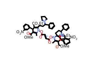 CCOC(=O)C1=C(CCC(c2ccccc2)N2CCCC2)N(OC(=O)/C=C/C(=O)ON2C(C)=C(C(=O)OC)C(c3cccc([N+](=O)[O-])c3)C(C(=O)OCC)=C2CCC(c2ccccc2)N2CCCC2)C(C)=C(C(=O)OC)C1c1cccc([N+](=O)[O-])c1